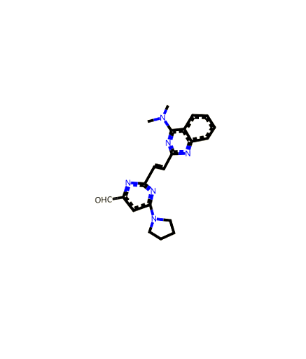 CN(C)c1nc(C=Cc2nc(C=O)cc(N3CCCC3)n2)nc2ccccc12